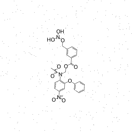 CS(=O)(=O)N(COC(=O)c1cccc(CON(O)O)c1)c1ccc([N+](=O)[O-])cc1Oc1ccccc1